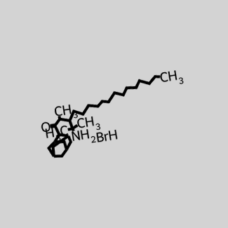 Br.CCCCCCCCCCCCCCC(C(C)C(=O)C1C2CC3CC(C2)CC1C3)C(C)(C)N